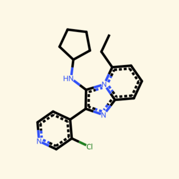 CCc1cccc2nc(-c3ccncc3Cl)c(NC3CCCC3)n12